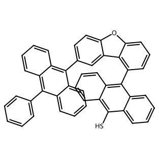 Sc1c2ccccc2c(-c2cccc3oc4ccc(-c5c6ccccc6c(-c6ccccc6)c6ccccc56)cc4c23)c2ccccc12